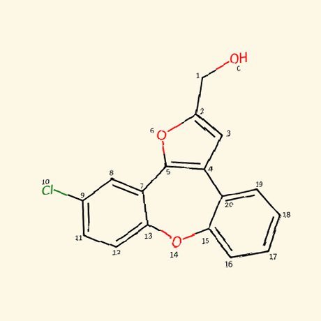 OCc1cc2c(o1)-c1cc(Cl)ccc1Oc1ccccc1-2